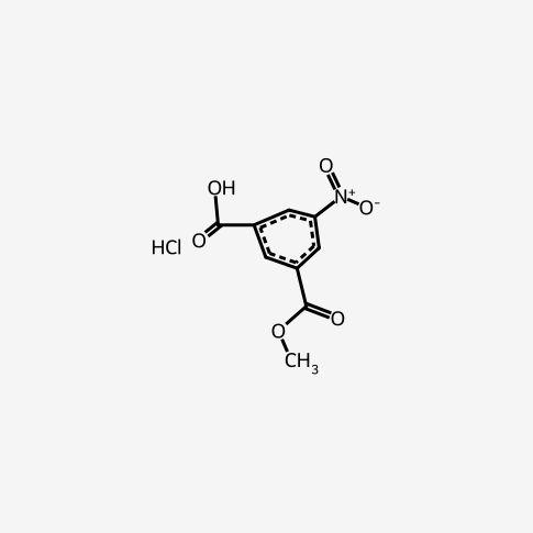 COC(=O)c1cc(C(=O)O)cc([N+](=O)[O-])c1.Cl